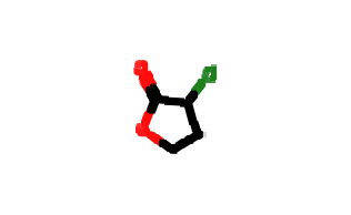 O=C1OC[CH]C1Cl